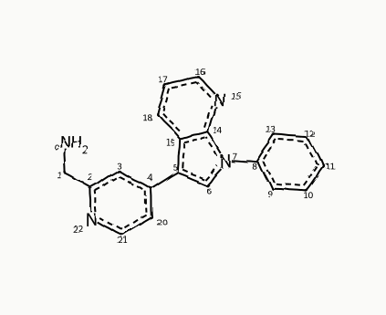 NCc1cc(-c2cn(-c3ccccc3)c3ncccc23)ccn1